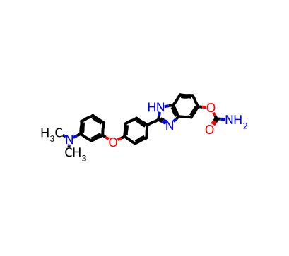 CN(C)c1cccc(Oc2ccc(-c3nc4cc(OC(N)=O)ccc4[nH]3)cc2)c1